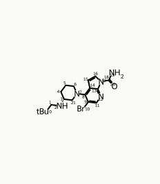 CC(C)(C)CN[C@@H]1CCCN(c2c(Br)cnc3c2[c]cn3C(N)=O)C1